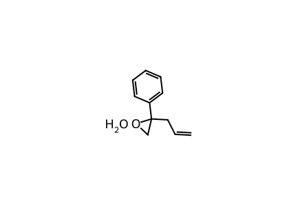 C=CCC1(c2ccccc2)CO1.O